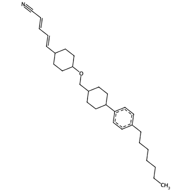 CCCCCCCc1ccc(C2CCC(COC3CCC(C=CC=CC#N)CC3)CC2)cc1